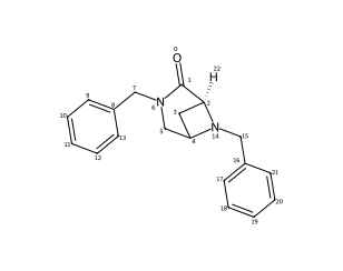 O=C1[C@@H]2CC(CN1Cc1ccccc1)N2Cc1ccccc1